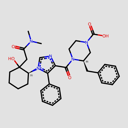 CN(C)C(=O)CC1(O)CCCC[C@@H]1n1cnc(C(=O)N2CCN(C(=O)O)C[C@H]2Cc2ccccc2)c1-c1ccccc1